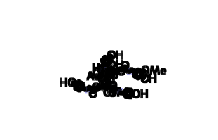 COc1cc(/C=C/C(=O)OC[C@H]2O[C@H](O[C@@]3(COC(=O)/C=C/c4ccc(O)cc4)O[C@H](COC(=O)/C=C/c4ccc(O)cc4)[C@@H](O)[C@@H]3OC(=O)/C=C/c3ccc(O)cc3)[C@H](OC(C)=O)[C@@H](O)[C@@H]2O)ccc1O